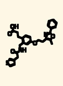 Cc1oc(-c2ccccc2)nc1CCOc1ccc(CCC(=O)O)c(CNC(=O)Cc2ccsc2)c1